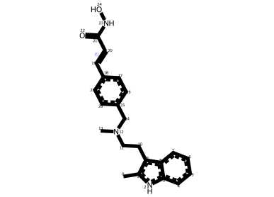 Cc1[nH]c2ccccc2c1CCN(C)Cc1ccc(/C=C/C(=O)NO)cc1